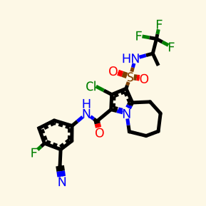 CC(NS(=O)(=O)c1c(Cl)c(C(=O)Nc2ccc(F)c(C#N)c2)n2c1CCCCC2)C(F)(F)F